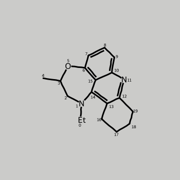 CCN1CC(C)Oc2cccc3nc4c(c1c23)CCCC4